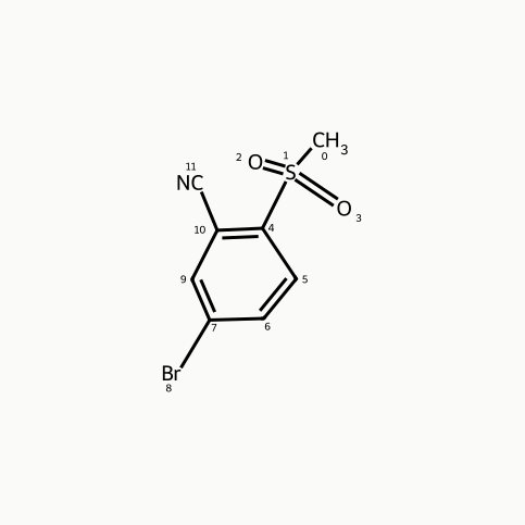 CS(=O)(=O)c1ccc(Br)cc1C#N